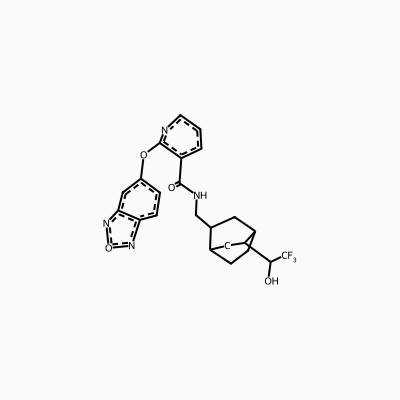 O=C(NCC1CC2CCC1CC2C(O)C(F)(F)F)c1cccnc1Oc1ccc2nonc2c1